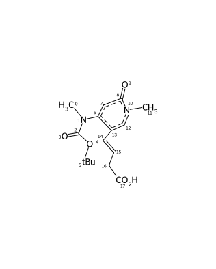 CN(C(=O)OC(C)(C)C)c1cc(=O)n(C)cc1C=CCC(=O)O